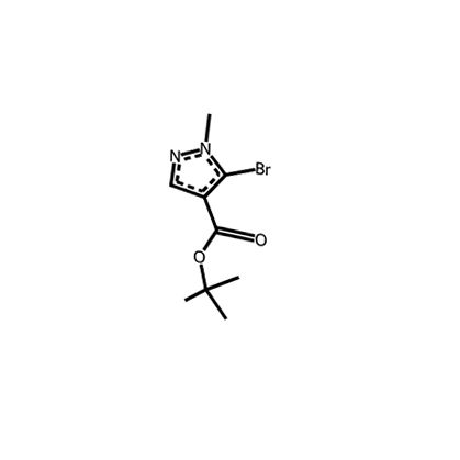 Cn1ncc(C(=O)OC(C)(C)C)c1Br